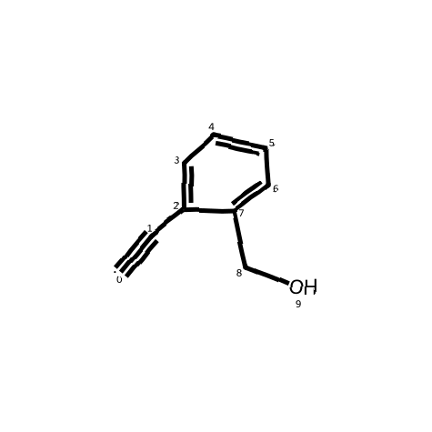 [C]#Cc1ccccc1CO